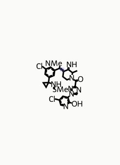 CN/C(=C1/CCN(C(=O)c2ncn(-c3cc(Cl)cnc3O)n2)C(C)C1=N)c1cc(Cl)cc(C2(NSC)CC2)c1